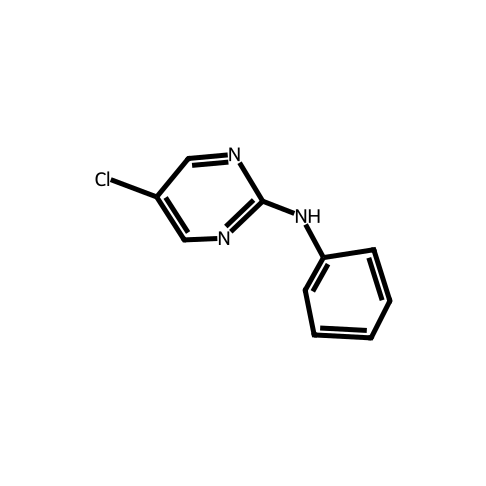 Clc1cnc(Nc2ccccc2)nc1